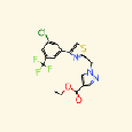 CCOC(=O)c1cnn(Cc2nc(-c3cc(Cl)cc(C(F)(F)F)c3)cs2)c1